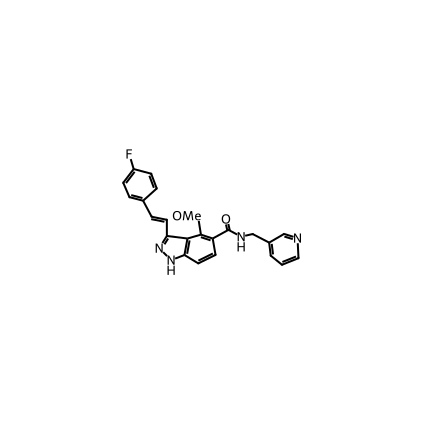 COc1c(C(=O)NCc2cccnc2)ccc2[nH]nc(/C=C/c3ccc(F)cc3)c12